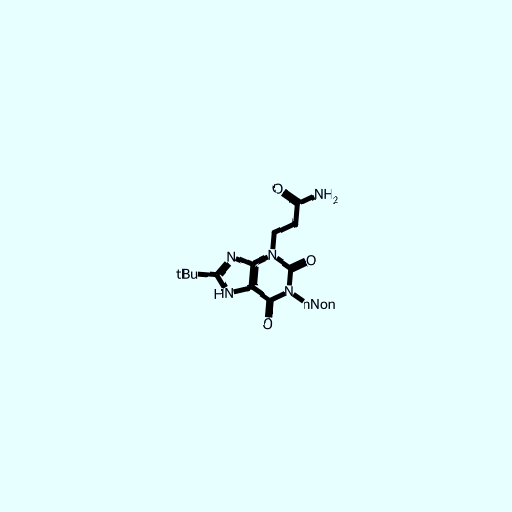 CCCCCCCCCn1c(=O)c2[nH]c(C(C)(C)C)nc2n(CCC(N)=O)c1=O